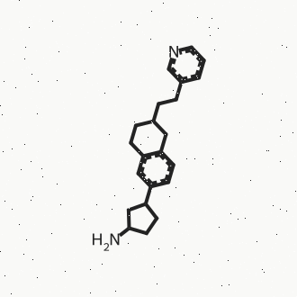 NC1CCC(c2ccc3c(c2)CCC(CCc2cccnc2)C3)C1